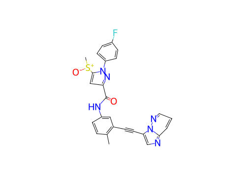 Cc1ccc(NC(=O)c2cc([S+](C)[O-])n(-c3ccc(F)cc3)n2)cc1C#Cc1cnc2cccnn12